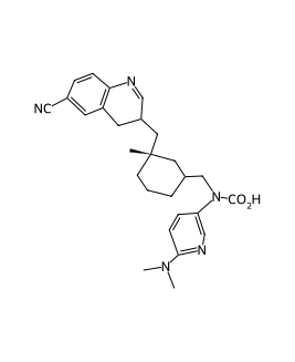 CN(C)c1ccc(N(CC2CCC[C@](C)(CC3C=Nc4ccc(C#N)cc4C3)C2)C(=O)O)cn1